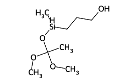 COC(C)(OC)O[SiH](C)CCCO